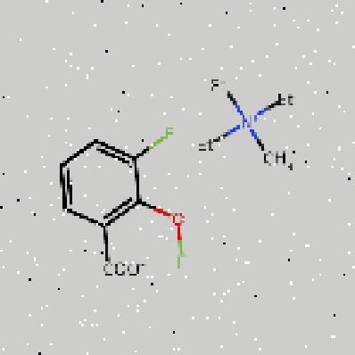 CC[N+](C)(CC)CC.O=C([O-])c1cccc(F)c1OF